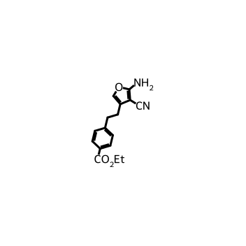 CCOC(=O)c1ccc(CCc2coc(N)c2C#N)cc1